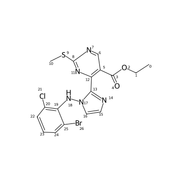 CCOC(=O)c1cnc(SC)nc1-c1nccn1Nc1c(Cl)cccc1Br